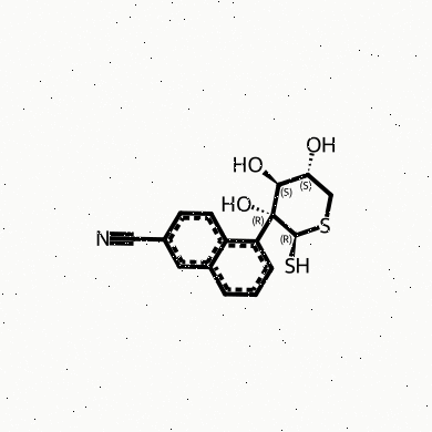 N#Cc1ccc2c([C@]3(O)[C@H](S)SC[C@@H](O)[C@@H]3O)cccc2c1